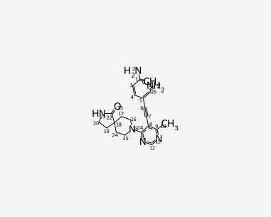 C=C(N)/C=C\C(C#Cc1c(C)ncnc1N1CCC2(CCNC2=O)CC1)=C/N